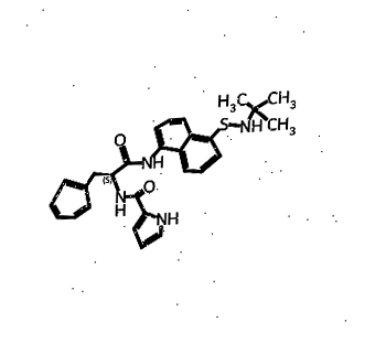 CC(C)(C)NSc1cccc2c(NC(=O)[C@H](Cc3ccccc3)NC(=O)c3ccc[nH]3)cccc12